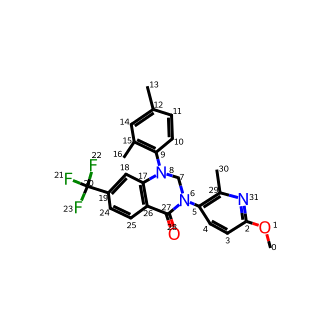 COc1ccc(N2CN(c3ccc(C)cc3C)c3cc(C(F)(F)F)ccc3C2=O)c(C)n1